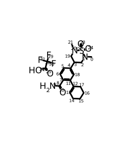 CN1CC(c2ccc(C(N)=O)c(C3=CCCCC3)c2)CN(C)S1(=O)=O.O=C(O)C(F)(F)F